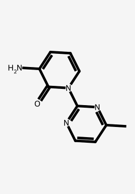 Cc1ccnc(-n2cccc(N)c2=O)n1